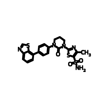 Cc1nc(N2CCCN(c3ccc(-c4cccc5ncsc45)cc3)C2=O)sc1S(N)(=O)=O